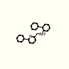 c1ccc(-c2cccc(CNc3ccccc3-c3ccccc3)n2)cc1